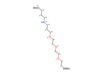 CNCCOCCOCCOCCCNCCCOC